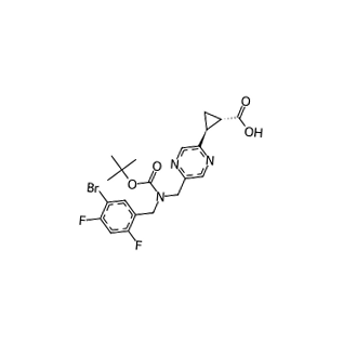 CC(C)(C)OC(=O)N(Cc1cnc([C@H]2C[C@@H]2C(=O)O)cn1)Cc1cc(Br)c(F)cc1F